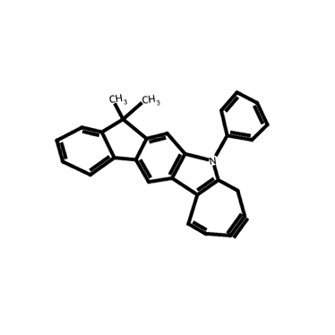 CC1(C)c2ccccc2-c2cc3c4c(n(-c5ccccc5)c3cc21)CC#CC=C4